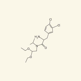 CCOC(CN(C(=O)C(N)Cc1ccc(Cl)c(Cl)c1)C(C)C)OCC